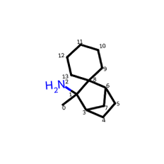 CC1(N)C2CCC(C2)C12CCCCC2